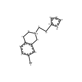 Brc1ccc2c(c1)CN(CCc1cccs1)CC2